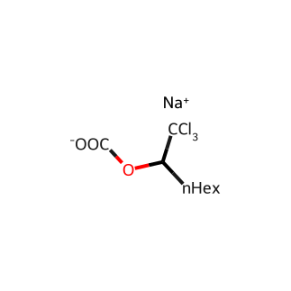 CCCCCCC(OC(=O)[O-])C(Cl)(Cl)Cl.[Na+]